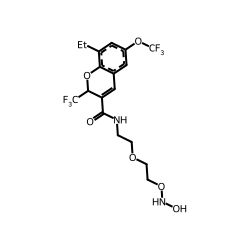 CCc1cc(OC(F)(F)F)cc2c1OC(C(F)(F)F)C(C(=O)NCCOCCONO)=C2